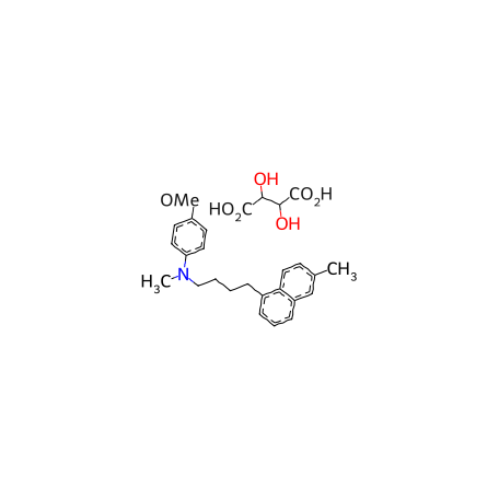 COc1ccc(N(C)CCCCc2cccc3cc(C)ccc23)cc1.O=C(O)C(O)C(O)C(=O)O